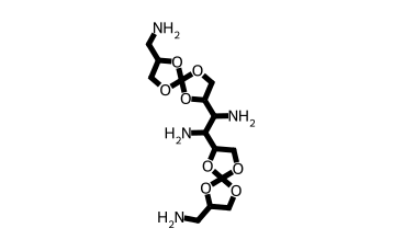 NCC1COC2(OCC(C(N)C(N)C3COC4(OCC(CN)O4)O3)O2)O1